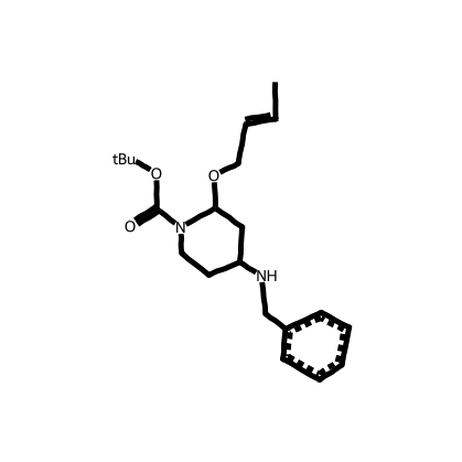 CC=CCOC1CC(NCc2ccccc2)CCN1C(=O)OC(C)(C)C